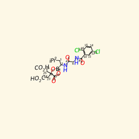 CC(C)CC(NC(=O)CNC(=O)c1cc(Cl)ccc1Cl)B1OC(=O)C(CC(=O)O)(CC(=O)O)O1